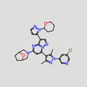 Cc1nn(-c2cncc(Cl)c2)c(C)c1-c1cc(N2CC3CCC(C2)O3)nc2c(-c3ccnn3C3CCCCO3)cnn12